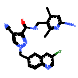 Cc1cc(N)nc(C)c1CNC(=O)c1nn(Cc2ccc3ncc(Cl)cc3c2)cc1C#N